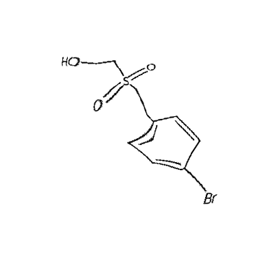 O=S(=O)(CO)c1ccc(Br)cc1